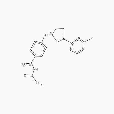 CC(=O)N[C@@H](C)c1ccc(O[C@@H]2CCN(c3cccc(F)n3)C2)cc1